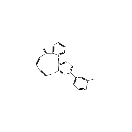 C=C1/C=C\C=C/Cc2nc(-c3cccc(F)c3)cnc2-c2ccccc21